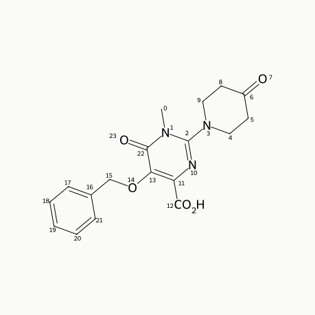 Cn1c(N2CCC(=O)CC2)nc(C(=O)O)c(OCc2ccccc2)c1=O